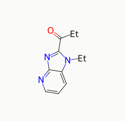 CCC(=O)c1nc2ncccc2n1CC